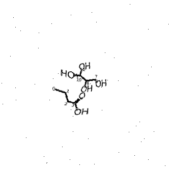 CCCC(=O)O.OCC(O)C(O)O